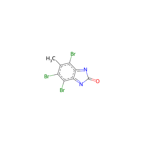 Cc1c(Br)c(Br)c2c(c1Br)=NC(=O)N=2